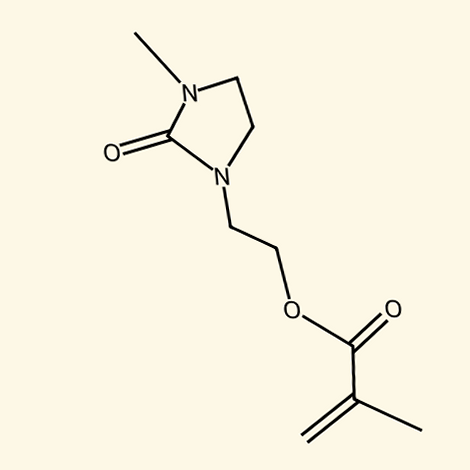 C=C(C)C(=O)OCCN1CCN(C)C1=O